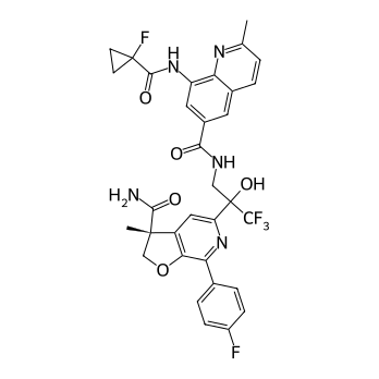 Cc1ccc2cc(C(=O)NCC(O)(c3cc4c(c(-c5ccc(F)cc5)n3)OC[C@]4(C)C(N)=O)C(F)(F)F)cc(NC(=O)C3(F)CC3)c2n1